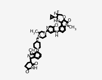 C[C@H]1CN(c2cc(Nc3ccc4c(c3)c3c(c(=O)n4C)OCC(F)(F)[C@H](C4CC4)N3)c(Cl)cn2)CCN1CC1CCN(c2cccc3c(C4CCC(=O)NC4=O)nn(C)c23)CC1